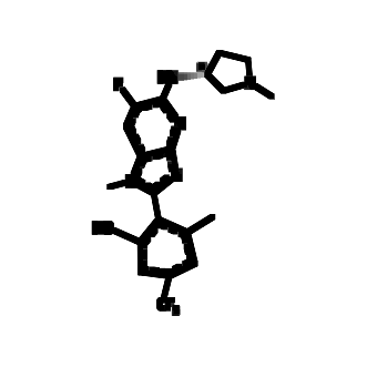 Cc1cc(C(F)(F)F)cc(O)c1-c1nc2nc(N[C@@H]3CCN(C)C3)c(F)cc2n1C